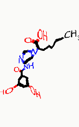 CCCCCCC(C(=O)O)n1cnc(NC(=O)c2cc(O)cc(O)c2)c1